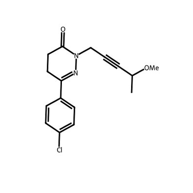 COC(C)C#CCN1N=C(c2ccc(Cl)cc2)CCC1=O